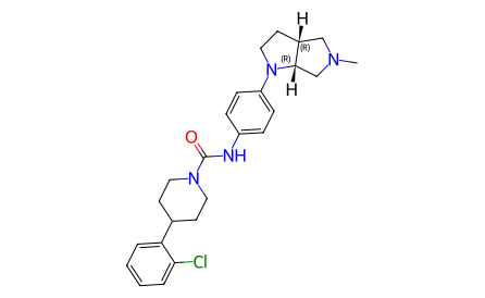 CN1C[C@H]2CCN(c3ccc(NC(=O)N4CCC(c5ccccc5Cl)CC4)cc3)[C@H]2C1